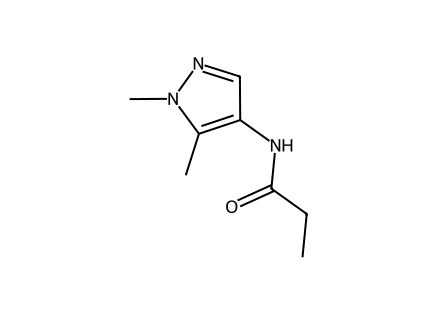 CCC(=O)Nc1cnn(C)c1C